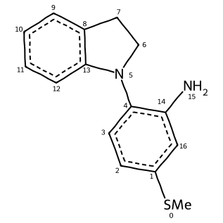 CSc1ccc(N2CCc3ccccc32)c(N)c1